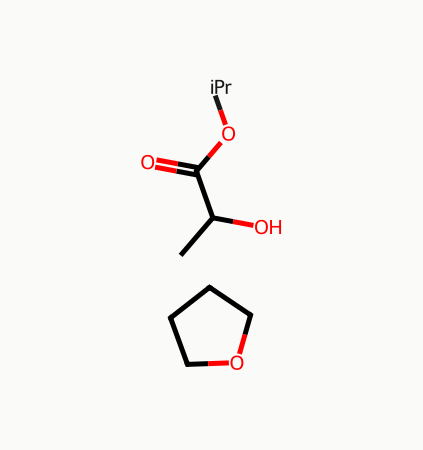 C1CCOC1.CC(C)OC(=O)C(C)O